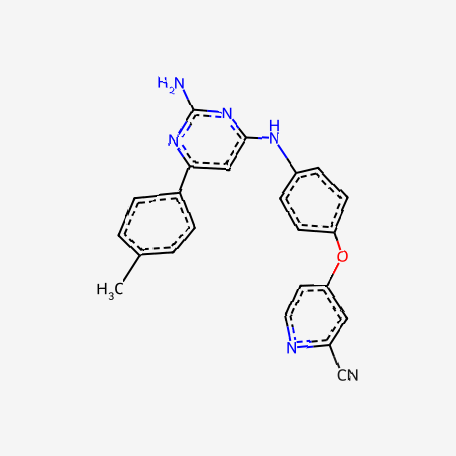 Cc1ccc(-c2cc(Nc3ccc(Oc4ccnc(C#N)c4)cc3)nc(N)n2)cc1